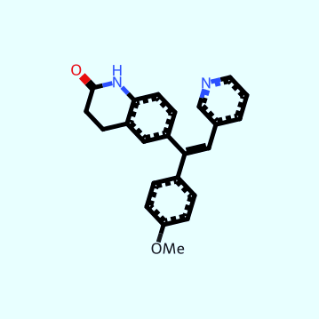 COc1ccc(/C(=C/c2cccnc2)c2ccc3c(c2)CCC(=O)N3)cc1